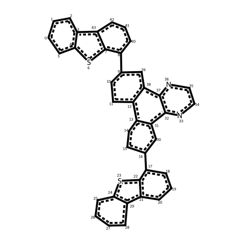 c1ccc2c(c1)sc1c(-c3ccc4c5ccc(-c6cccc7c6sc6ccccc67)cc5c5nccnc5c4c3)cccc12